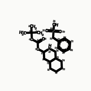 CC(C)(C)OC(=O)OC1CC2CCCCC2CN1.O=S(=O)(O)Cc1ccccc1